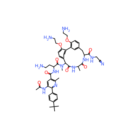 CC(=O)Nc1cc(C(=O)NC(CCN)C(=O)N(C)C2C(=O)NC(C)C(=O)NC(C(=O)NCC#N)Cc3ccc(OCCN)c(c3)-c3cc2ccc3OCCN)c(C)nc1-c1ccc(C(C)(C)C)cc1